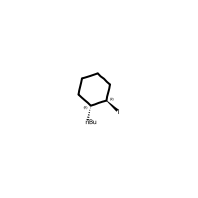 CCCC[C@@H]1CCCC[C@H]1I